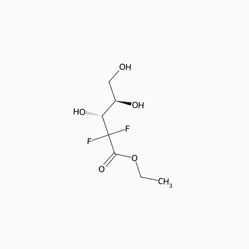 CCOC(=O)C(F)(F)[C@H](O)[C@H](O)CO